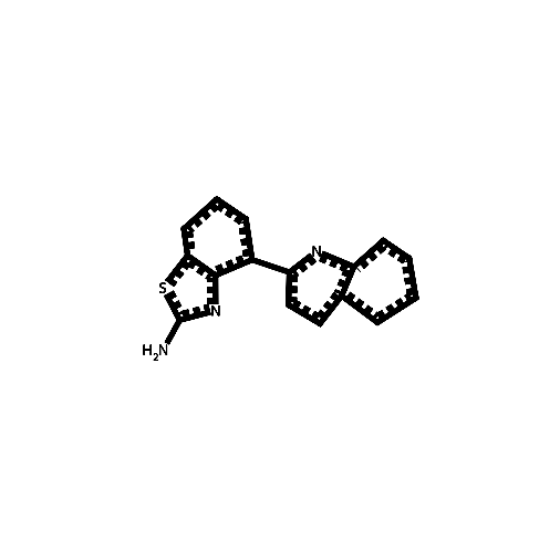 Nc1nc2c(-c3ccc4ccccc4n3)cccc2s1